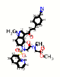 COC(=O)CN(C)C(=O)CN(c1ccc2c(c1)c(C(=O)CCc1ccc(C#N)cc1)cn2C)S(=O)(=O)c1cccc2cccnc12